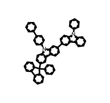 c1ccc(-c2ccc(-n3c4ccc(C5(c6ccccc6)c6ccccc6-c6ccccc65)cc4c4ccc(-c5ccc6c(c5)c5ccccc5n6-c5ccccc5)cc43)cc2)cc1